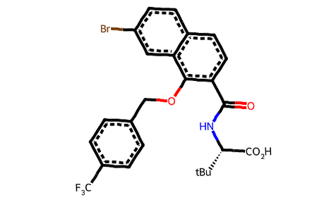 CC(C)(C)[C@H](NC(=O)c1ccc2ccc(Br)cc2c1OCc1ccc(C(F)(F)F)cc1)C(=O)O